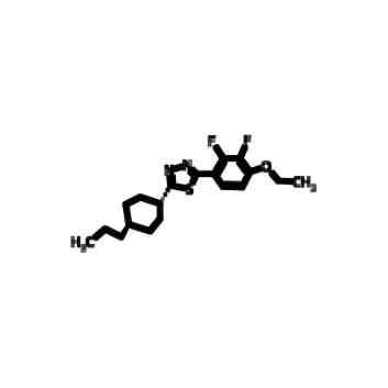 CCC[C@H]1CC[C@H](c2nnc(-c3ccc(OCC)c(F)c3F)s2)CC1